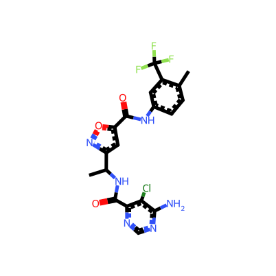 Cc1ccc(NC(=O)c2cc(C(C)NC(=O)c3ncnc(N)c3Cl)no2)cc1C(F)(F)F